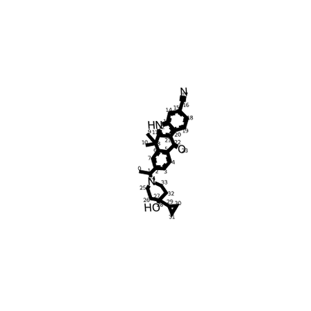 CC(c1ccc2c(c1)C(C)(C)c1[nH]c3cc(C#N)ccc3c1C2=O)N1CCC(O)(C2CC2)CC1